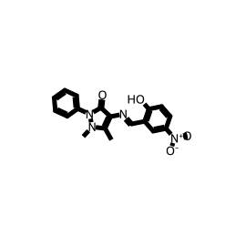 Cc1c(/N=C/c2cc([N+](=O)[O-])ccc2O)c(=O)n(-c2ccccc2)n1C